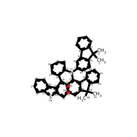 CC1(C)c2ccccc2-c2cc(N(c3ccccc3-c3cccc4sc5ccccc5c34)c3cccc4c3-c3ccccc3C4(C)C)ccc21